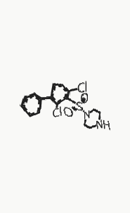 O=S(=O)(c1c(Cl)ccc(-c2ccccc2)c1Cl)N1CCNCC1